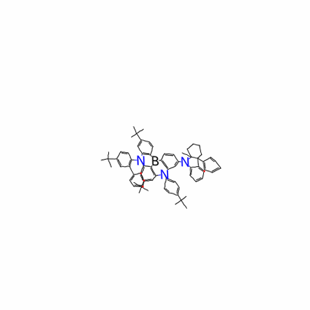 CC(C)(C)c1ccc(N2c3cc(N4c5ccccc5C5(c6ccccc6)CCCCC45C)ccc3B3c4ccc(C(C)(C)C)cc4N(c4ccc(C(C)(C)C)cc4-c4ccccc4)c4cc(C(C)(C)C)cc2c43)cc1